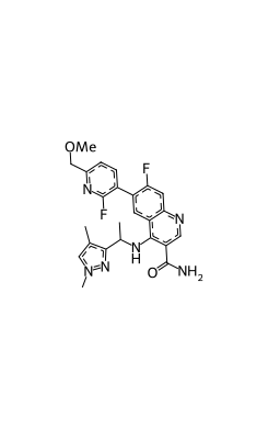 COCc1ccc(-c2cc3c(NC(C)c4nn(C)cc4C)c(C(N)=O)cnc3cc2F)c(F)n1